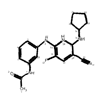 CC(=O)Nc1cccc(NC2=C(F)C=C(C#N)C(NC3CCCC3)N2)c1